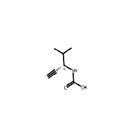 C#C[C@@H](NC(=O)O)C(C)C